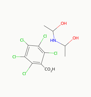 CC(O)NC(C)O.O=C(O)c1c(Cl)c(Cl)c(Cl)c(Cl)c1Cl